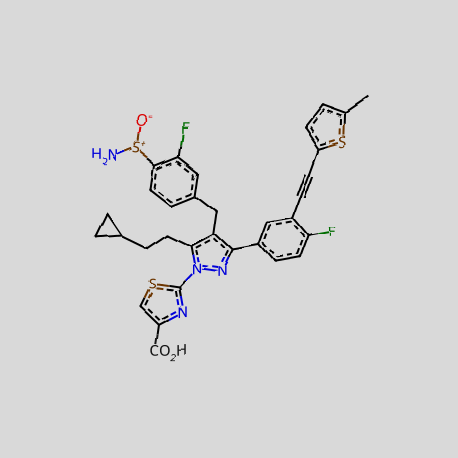 Cc1ccc(C#Cc2cc(-c3nn(-c4nc(C(=O)O)cs4)c(CCC4CC4)c3Cc3ccc([S+](N)[O-])c(F)c3)ccc2F)s1